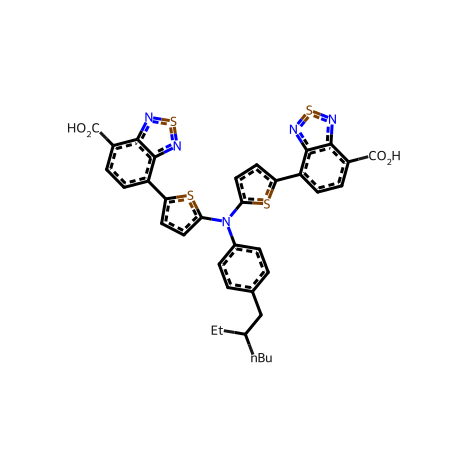 CCCCC(CC)Cc1ccc(N(c2ccc(-c3ccc(C(=O)O)c4nsnc34)s2)c2ccc(-c3ccc(C(=O)O)c4nsnc34)s2)cc1